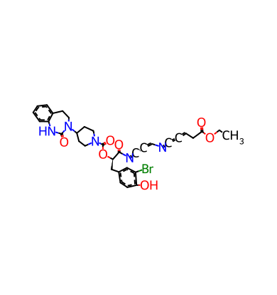 CCOC(=O)CC=C=C=NC=C=C=NC(=O)[C@@H](Cc1ccc(O)c(Br)c1)OC(=O)N1CCC(N2CCc3ccccc3NC2=O)CC1